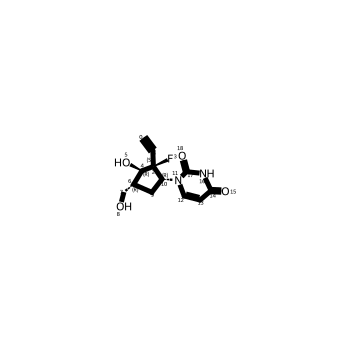 C#C[C@@]1(F)[C@H](O)[C@@H](CO)C[C@H]1n1ccc(=O)[nH]c1=O